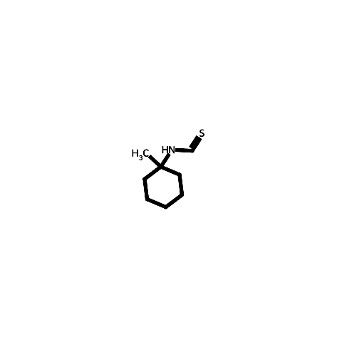 CC1(NC=S)CCCCC1